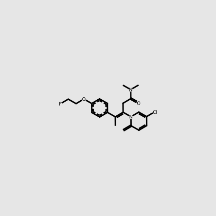 C=C1C=CC(Cl)=CN1/C(CC(=O)N(C)C)=C(\C)c1ccc(OCCF)cc1